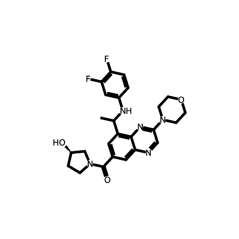 CC(Nc1ccc(F)c(F)c1)c1cc(C(=O)N2CC[C@@H](O)C2)cc2ncc(N3CCOCC3)nc12